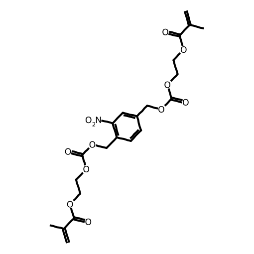 C=C(C)C(=O)OCCOC(=O)OCc1ccc(COC(=O)OCCOC(=O)C(=C)C)c([N+](=O)[O-])c1